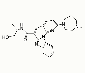 CC(CO)NC(=O)c1cc2ccc(N3CCCN(C)CC3)nc2n2c1nc1ccccc12